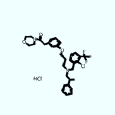 CC(CN(CCCOc1cccc(CC(=O)N2CCOCC2)c1)Cc1cccc(C(F)(F)F)c1Cl)c1ccccc1.Cl